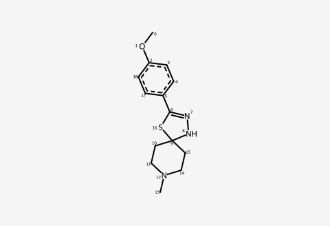 COc1ccc(C2=NNC3(CCN(C)CC3)S2)cc1